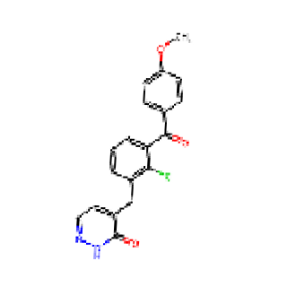 COc1ccc(C(=O)c2cccc(Cc3ccn[nH]c3=O)c2Cl)cc1